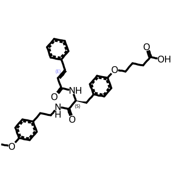 COc1ccc(CCNC(=O)[C@H](Cc2ccc(OCCCC(=O)O)cc2)NC(=O)/C=C/c2ccccc2)cc1